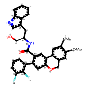 COc1cc2c(cc1OC)-c1cc(C(=O)N[C@@H](CO)Cc3c[nH]c4ccccc34)c(-c3cccc(F)c3F)cc1OC2